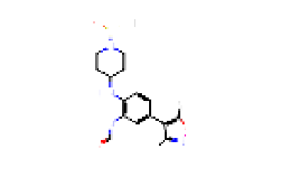 Cc1noc(C)c1-c1ccc(NC2CCN([S+](C)[O-])CC2)c(NC=O)c1